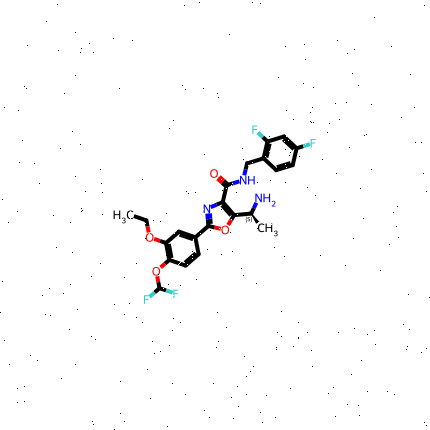 CCOc1cc(-c2nc(C(=O)NCc3ccc(F)cc3F)c([C@H](C)N)o2)ccc1OC(F)F